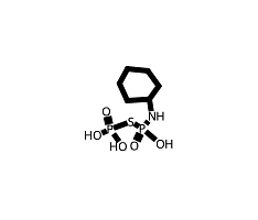 O=P(O)(O)SP(=O)(O)NC1CCCCC1